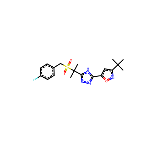 CC(C)(C)c1cc(-c2nnc(C(C)(C)S(=O)(=O)Cc3ccc(F)cc3)[nH]2)on1